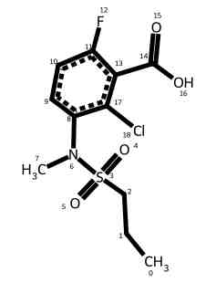 CCCS(=O)(=O)N(C)c1ccc(F)c(C(=O)O)c1Cl